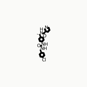 C[C@H](NC(=O)c1cccnc1)c1ccc(NC(=O)NCc2ccc(Cl)cc2)cc1